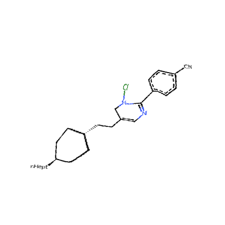 CCCCCCC[C@H]1CC[C@H](CCC2=CN=C(c3ccc(C#N)cc3)N(Cl)C2)CC1